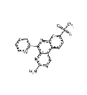 CS(=O)(=O)c1ccc2c(c1)nc(-c1ccccn1)c1nc(N)ncc12